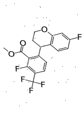 COC(=O)c1c(C2CCOc3cc(F)ccc32)ccc(C(F)(F)F)c1F